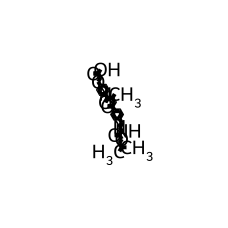 CC(C)COC(=O)NN=Cc1ccc(C(=O)CC(C)C(=O)N2CCC(OCC(=O)O)CC2)cc1